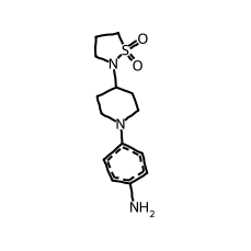 Nc1ccc(N2CCC(N3CCCS3(=O)=O)CC2)cc1